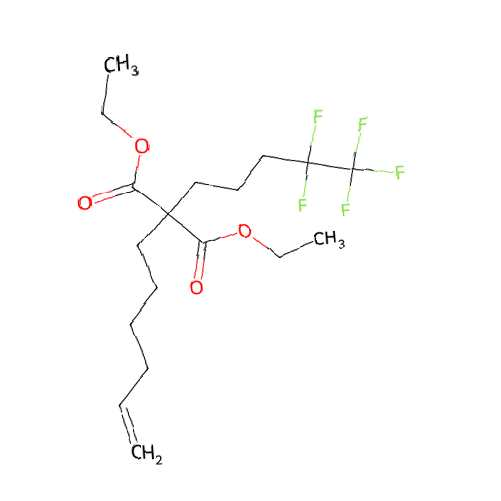 C=CCCCCC(CCCC(F)(F)C(F)(F)F)(C(=O)OCC)C(=O)OCC